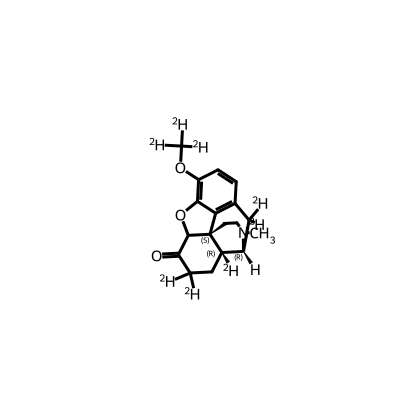 [2H]C([2H])([2H])Oc1ccc2c3c1OC1C(=O)C([2H])([2H])C[C@@]4([2H])[C@H](N(C)CC[C@]314)C2([2H])[2H]